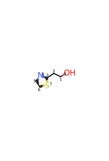 OCCc1n[c]cs1